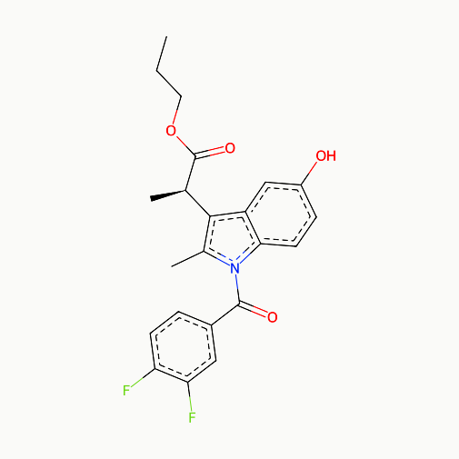 CCCOC(=O)[C@H](C)c1c(C)n(C(=O)c2ccc(F)c(F)c2)c2ccc(O)cc12